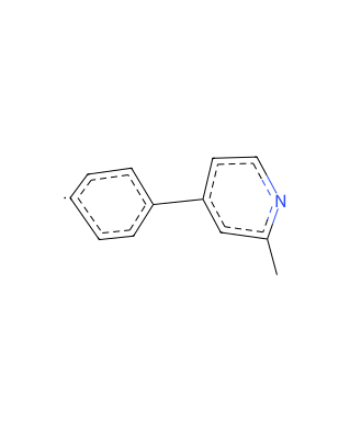 Cc1cc(-c2cc[c]cc2)ccn1